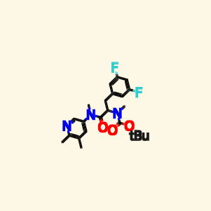 Cc1cc(N(C)C(=O)C(Cc2cc(F)cc(F)c2)N(C)C(=O)OC(C)(C)C)cnc1C